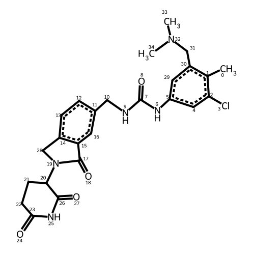 Cc1c(Cl)cc(NC(=O)NCc2ccc3c(c2)C(=O)N(C2CCC(=O)NC2=O)C3)cc1CN(C)C